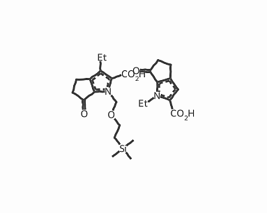 CCc1c2c(n(COCC[Si](C)(C)C)c1C(=O)O)C(=O)CC2.CCn1c(C(=O)O)cc2c1C(=O)CC2